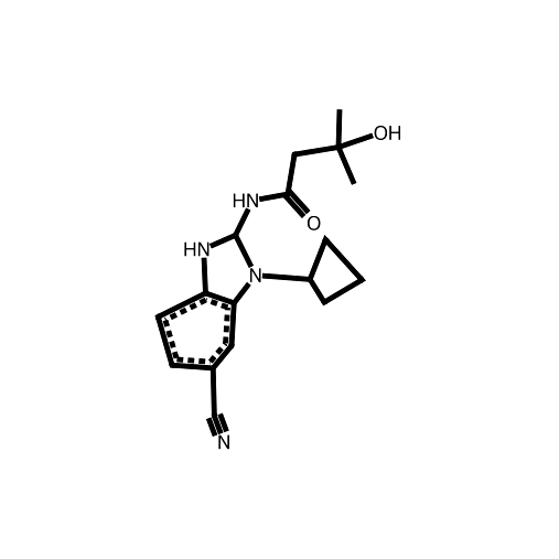 CC(C)(O)CC(=O)NC1Nc2ccc(C#N)cc2N1C1CCC1